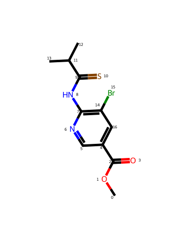 COC(=O)c1cnc(NC(=S)C(C)C)c(Br)c1